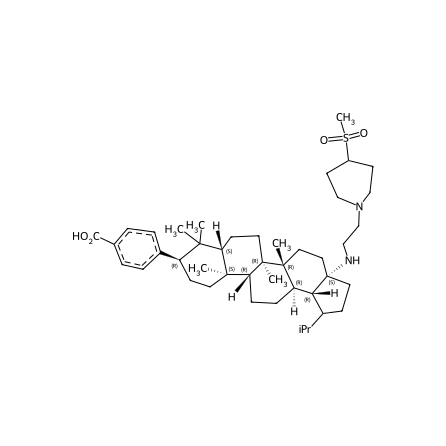 CC(C)C1CC[C@]2(NCCN3CCC(S(C)(=O)=O)CC3)CC[C@]3(C)[C@H](CC[C@@H]4[C@@]5(C)CC[C@@H](c6ccc(C(=O)O)cc6)C(C)(C)[C@@H]5CC[C@]43C)[C@@H]12